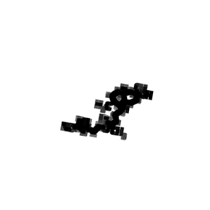 CCC(C)(CCC[C@@H]1[C@H]2CC[C@@](C)(O)C[C@H]2CC[C@H]1C)OCCn1cc(C#N)cn1